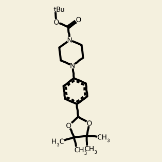 CC(C)(C)OC(=O)N1CCN(c2ccc(C3OC(C)(C)C(C)(C)O3)cc2)CC1